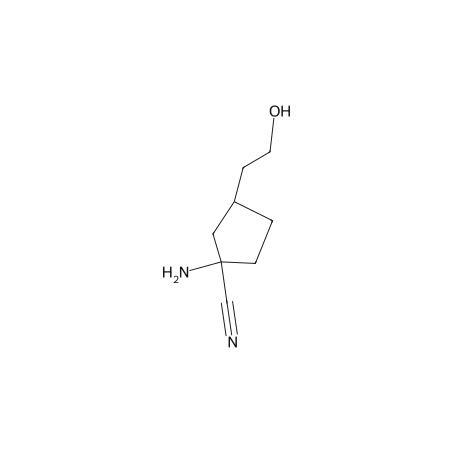 N#CC1(N)CCC(CCO)C1